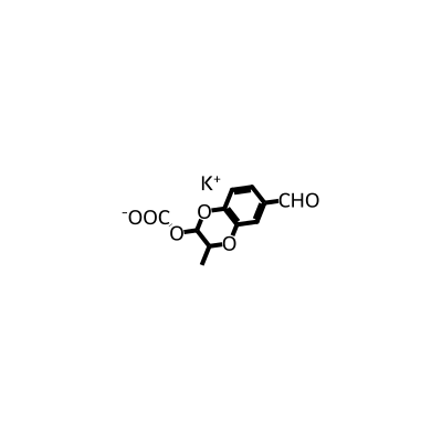 CC1Oc2cc(C=O)ccc2OC1OC(=O)[O-].[K+]